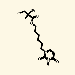 CC(C)CC(C)(C(=O)OCCCCCCn1ccc(=O)n(C)c1=O)C(C)C